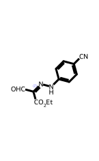 CCOC(=O)/C(C=O)=N\Nc1ccc(C#N)cc1